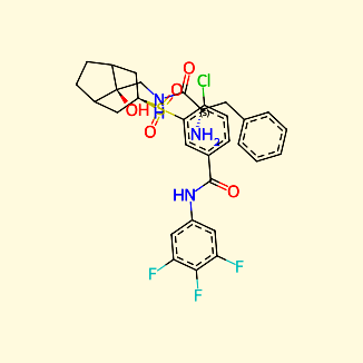 N[C@@H](Cc1ccccc1)C(=O)NC[C@]1(O)C2CCC1C[C@@H](S(=O)(=O)c1cc(C(=O)Nc3cc(F)c(F)c(F)c3)ccc1Cl)C2